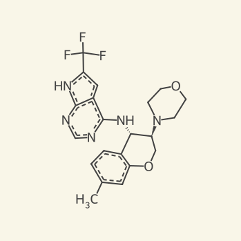 Cc1ccc2c(c1)OC[C@H](N1CCOCC1)[C@H]2Nc1ncnc2[nH]c(C(F)(F)F)cc12